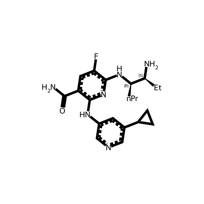 CCC[C@@H](Nc1nc(Nc2cncc(C3CC3)c2)c(C(N)=O)cc1F)[C@@H](N)CC